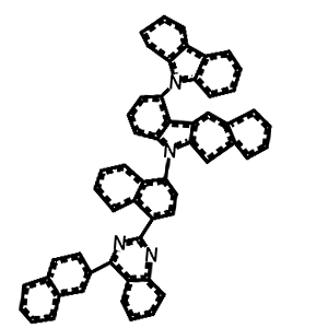 c1ccc2cc(-c3nc(-c4ccc(-n5c6cc7ccccc7cc6c6c(-n7c8ccccc8c8ccccc87)cccc65)c5ccccc45)nc4ccccc34)ccc2c1